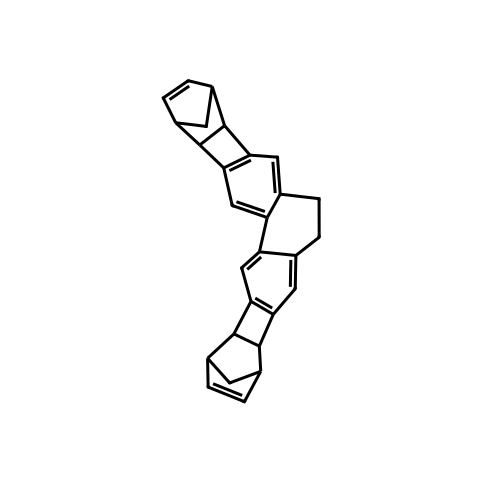 C1=CC2CC1C1c3cc4c(cc3C21)-c1cc2c(cc1CC4)C1C3C=CC(C3)C21